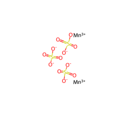 O=S(=O)([O-])[O-].O=S(=O)([O-])[O-].O=S(=O)([O-])[O-].[Mn+3].[Mn+3]